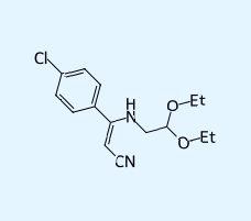 CCOC(CNC(=CC#N)c1ccc(Cl)cc1)OCC